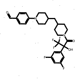 O=Cc1ccc(N2CCC(CC3CCN(C(=O)C(O)(c4cc(F)cc(F)c4)C(F)(F)F)CC3)CC2)cc1